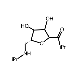 CC(C)NC[C@H]1OC(C(=O)C(C)C)C(O)C1O